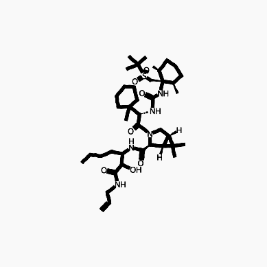 C=CCNC(=O)C(O)C(CCCC)NC(=O)[C@@H]1[C@@H]2[C@H](CN1C(=O)[C@@H](NC(=O)N[C@@]1(CS(=O)(=O)C(C)(C)C)[C@H](C)CCC[C@@H]1C)C1(C)CCCCC1)C2(C)C